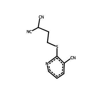 N#Cc1cccnc1SCCC(C#N)C#N